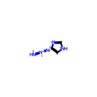 [N-]=[N+]=N.c1c[nH]cn1